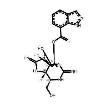 N=C1N[C@H]2[C@H](CO)NC(=N)N3C[C@H](OC(=O)c4cccc5cn[nH]c45)C(O)(O)[C@]23N1